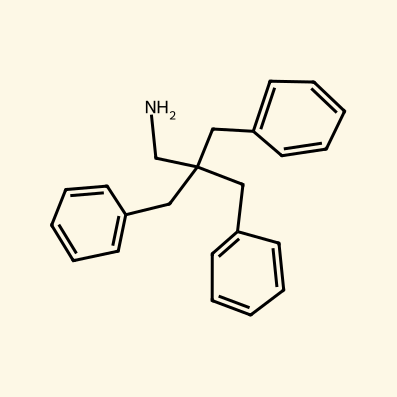 NCC(Cc1ccccc1)(Cc1ccccc1)Cc1ccccc1